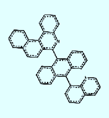 c1cnc2c(-c3c4ccccc4c(-c4nc5ccccc5c5c4ccc4ccccc45)c4ccccc34)cccc2c1